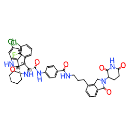 O=C1CCC(N2Cc3c(CCCNC(=O)c4ccc(NC(=O)[C@@H]5NC6(CCCCC6)[C@@]6(C(=O)Nc7cc(Cl)ccc76)[C@H]5c5cccc(Cl)c5F)cc4)cccc3C2=O)C(=O)N1